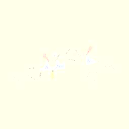 Cc1ccc(N2C(=O)/C(=C/c3ccc(C(=O)N4CC(C)CC(C)C4)cc3)NC2=S)cc1